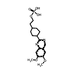 COc1cc2cnc(C3CCC(CCOP(=O)(O)O)CC3)nc2cc1OC